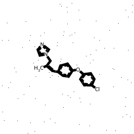 CC(=Cc1ccc(Oc2ccc(Cl)cc2)cc1)Cn1ccnc1